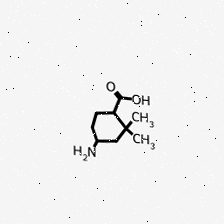 CC1(C)CC(N)CCC1C(=O)O